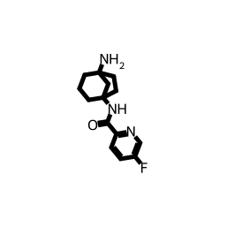 NC12CCCC(NC(=O)c3ccc(F)cn3)(CC1)C2